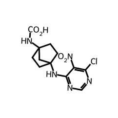 O=C(O)NC12CCC(Nc3ncnc(Cl)c3[N+](=O)[O-])(CC1)C2